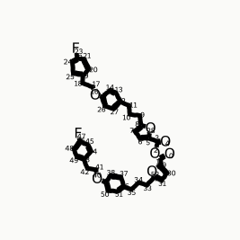 O=C(OC(=O)c1ccc(CCCc2ccc(OCCc3ccc(F)cc3)cc2)o1)c1ccc(CCCc2ccc(OCCc3ccc(F)cc3)cc2)o1